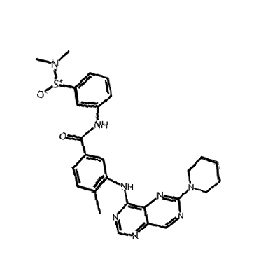 Cc1ccc(C(=O)Nc2cccc([S+]([O-])N(C)C)c2)cc1Nc1ncnc2cnc(N3CCCCC3)nc12